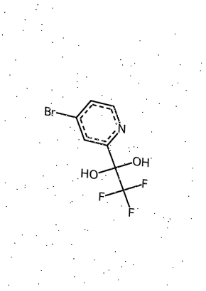 OC(O)(c1cc(Br)ccn1)C(F)(F)F